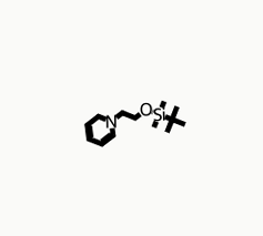 CC(C)(C)[Si](C)(C)OCCN1C=CC=CC1